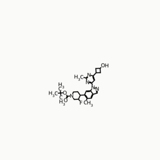 Cc1nc(C2CC(O)C2)cc(-n2ncc3cc(C)c(C4CCN(C(=O)OC(C)(C)C)CC4F)cc32)n1